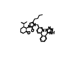 CCCCc1cn(C2C(=O)CCCC2C(C)C)c(=O)n1Cc1ccc(-c2ccccc2-c2nnn[nH]2)nc1